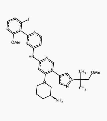 COCC(C)(C)n1cc(-c2cnc(Nc3ccnc(-c4c(F)cccc4OC)n3)cc2N2CCC[C@H](N)C2)cn1